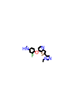 CCn1cncc1-c1cc2nccc(Oc3ccc(NC)cc3F)c2s1